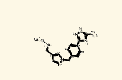 CONCc1cnn(Cc2ccc(-c3noc(C(F)(F)F)n3)cc2)c1